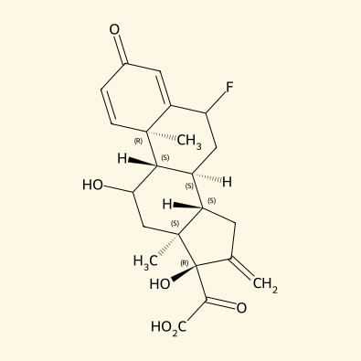 C=C1C[C@H]2[C@@H]3CC(F)C4=CC(=O)C=C[C@]4(C)[C@H]3C(O)C[C@]2(C)[C@@]1(O)C(=O)C(=O)O